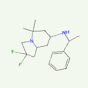 CC(NC1CC2CC(F)(F)CN2C(C)(C)C1)c1ccccc1